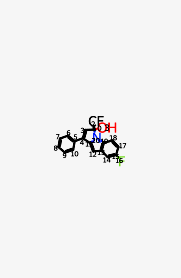 OC1(C(F)(F)F)C=C(c2ccccc2)c2cc3cc(F)ccc3n21